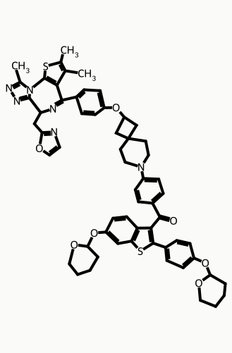 Cc1sc2c(c1C)C(c1ccc(OC3CC4(CCN(c5ccc(C(=O)c6c(-c7ccc(OC8CCCCO8)cc7)sc7cc(OC8CCCCO8)ccc67)cc5)CC4)C3)cc1)=NC(Cc1ncco1)c1nnc(C)n1-2